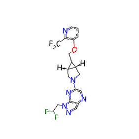 FC(F)Cn1ncc2ncc(N3C[C@@H]4C(COc5cccnc5C(F)(F)F)[C@@H]4C3)nc21